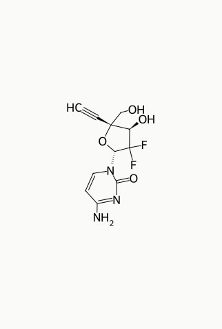 C#C[C@]1(CO)O[C@@H](n2ccc(N)nc2=O)C(F)(F)[C@@H]1O